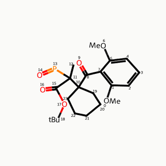 COc1cccc(OC)c1C(=O)C1(C(C)(P=O)C(=O)OC(C)(C)C)CCCCC1